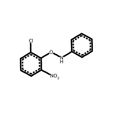 O=[N+]([O-])c1cccc(Cl)c1ONc1ccccc1